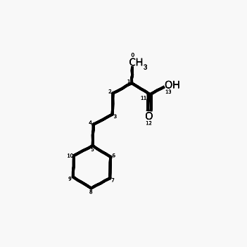 CC(CCCC1CCCCC1)C(=O)O